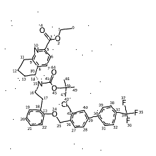 CCOC(=O)c1ccc2c(n1)CCC[C@H]2N(CCc1ccccc1OCc1ccc(-c2ccc(C(F)(F)F)cc2)cc1Cl)C(=O)OC(C)(C)C